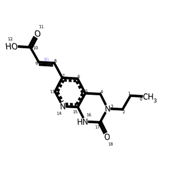 CCCN1Cc2cc(/C=C/C(=O)O)cnc2NC1=O